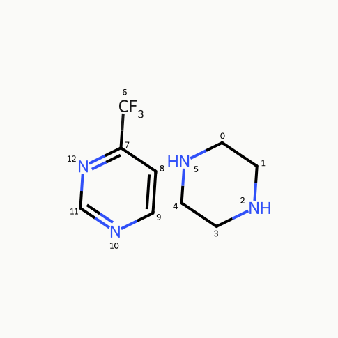 C1CNCCN1.FC(F)(F)c1ccncn1